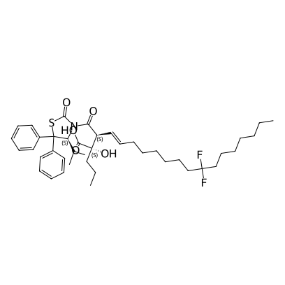 CCCCCCCC(F)(F)CCCCCCC=C[C@H](C(=O)N1C(=O)SC(c2ccccc2)(c2ccccc2)[C@@H]1C(C)C)[C@@](O)(CCC)C(=O)O